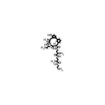 NCCNC(=O)[C@@H](N)CCNC(=O)[C@@H](N)CCNC(=O)[C@@H]1Cc2cccc(c2)-c2ccc(O)c(c2)C[C@H](N)C(=O)N[C@@H](C[C@@H](O)CN)C(=O)N1